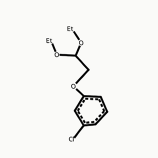 CCOC(COc1cccc(Cl)c1)OCC